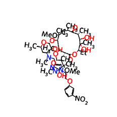 CC[C@H]1OC(=O)[C@H](C)[C@@H](O[C@H]2C[C@@](C)(OC)[C@@H](O)[C@H](C)O2)[C@H](C)[C@@H](O[C@@H]2O[C@H](C)C[C@H](N(C)Cc3cn(CCOc4cccc([N+](=O)[O-])c4)nn3)[C@H]2O)[C@](C)(OC)C[C@@H](C)C(=O)[C@H](C)[C@@H](O)[C@]1(C)O